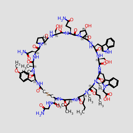 CCCC[C@H]1C(=O)N(C)[C@@H](CCCC)C(=O)N[C@@H](CC(C)C)C(=O)N[C@H](C(=O)NCC(N)=O)CSCC(=O)N[C@@H](Cc2ccc(OC)cc2)C(=O)N(C)[C@@H](C)C(=O)N[C@@H](CC(N)=O)C(=O)N2CCC[C@H]2C(=O)N[C@@H](CO)C(=O)N[C@@H](CCC(N)=O)C(=O)N2C[C@H](O)C[C@H]2C(=O)N[C@@H](Cc2c[nH]c3ccccc23)C(=O)N[C@@H](CO)C(=O)N[C@@H](Cc2cn(CC(=O)O)c3ccccc23)C(=O)N1C